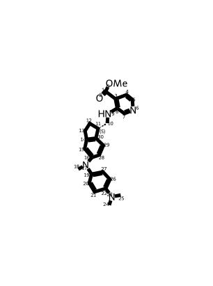 COC(=O)c1ccncc1NC[C@H]1CCc2cc(N(C)c3ccc(N(C)C)cc3)ccc21